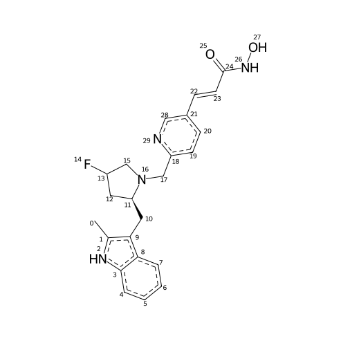 Cc1[nH]c2ccccc2c1C[C@H]1CC(F)CN1Cc1ccc(/C=C/C(=O)NO)cn1